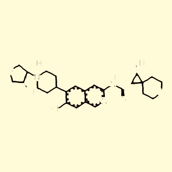 C[C@H]1[C@@H](C(=O)Nc2cc3cc(C4CCN([C@]5(C)COC[C@@H]5O)CC4)c(Cl)cc3cn2)C12CCOCC2